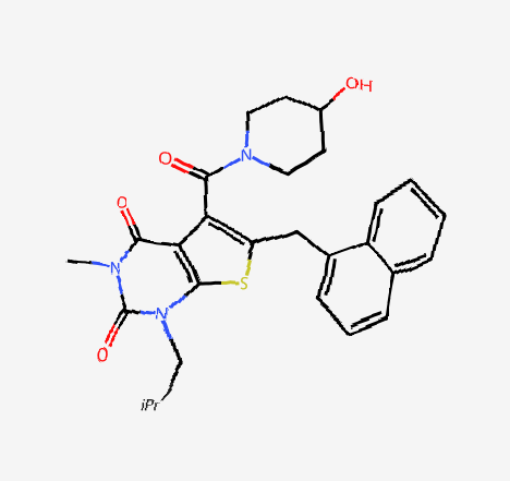 CC(C)Cn1c(=O)n(C)c(=O)c2c(C(=O)N3CCC(O)CC3)c(Cc3cccc4ccccc34)sc21